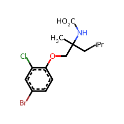 CC(C)CC(C)(COc1ccc(Br)cc1Cl)NC(=O)O